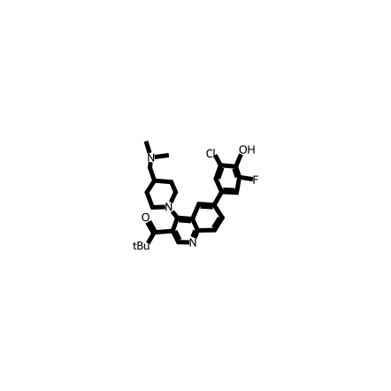 CN(C)CC1CCN(c2c(C(=O)C(C)(C)C)cnc3ccc(-c4cc(F)c(O)c(Cl)c4)cc23)CC1